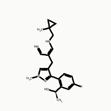 C[C@@H](O)c1cc(F)ccc1-c1nn(C)cc1C/C(C=N)=C/NCC1(C)CC1